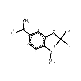 CSc1ccc(C(C)C)cc1OC(F)(F)F